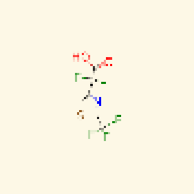 O=C(O)C(F)(F)c1csc(C(F)(F)F)n1